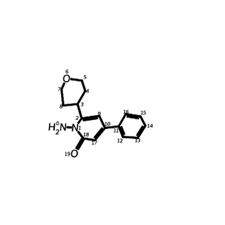 Nn1c(C2CCOCC2)cc(-c2ccccc2)cc1=O